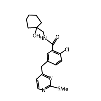 CSc1nccc(Cc2ccc(Cl)c(C(=O)NCC3(O)CCCCC3)c2)n1